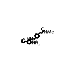 CNC(=O)[CH]Cc1ccc(C(=O)Nc2cc(-c3cccs3)ccc2N)cc1